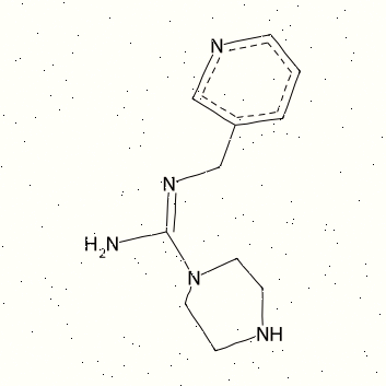 NC(=NCc1cccnc1)N1CCNCC1